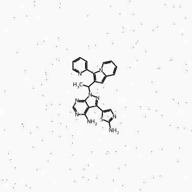 CC(c1cc2ccccn2c1-c1ccccn1)n1nc(-c2cnc(N)s2)c2c(N)ncnc21